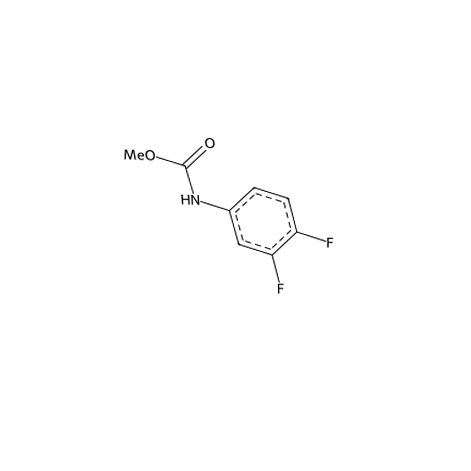 COC(=O)Nc1ccc(F)c(F)c1